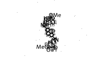 CCCN(Cc1ncc(-c2cc3c4c(ccc5cc(-c6cnc(CN(CCC)C(=O)[C@H](NC(=O)OC)C7C=CC=CC7)[nH]6)cc(c54)CO3)c2)n1I)C(=O)[C@@H](NC(=O)OC)C(C)C